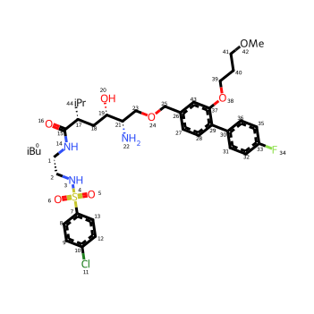 CC[C@H](C)[C@@H](CNS(=O)(=O)c1ccc(Cl)cc1)NC(=O)[C@@H](C[C@H](O)[C@@H](N)COCc1ccc(-c2ccc(F)cc2)c(OCCCOC)c1)C(C)C